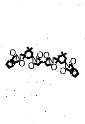 CC1(C)CC(N2C(=O)C3C4C=CC(C4)C3C2=O)CC(C)(CN2C(=O)CC(C3CC(=O)N(C4CC(C)(C)CC(C)(CN5C(=O)C6C7C=CC(C7)C6C5=O)C4)C3=O)C2=O)C1